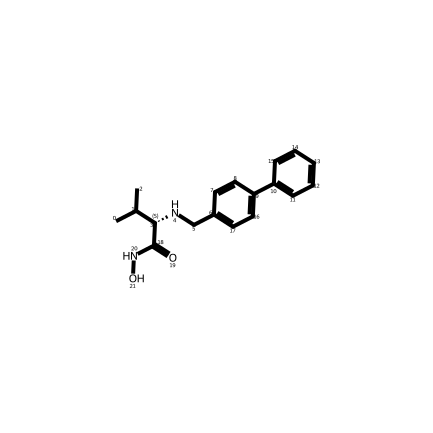 CC(C)[C@H](NCc1ccc(-c2ccccc2)cc1)C(=O)NO